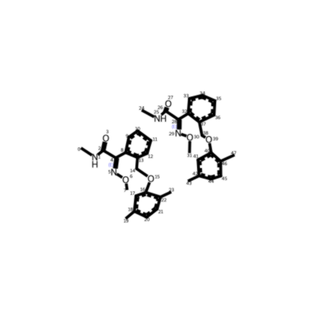 CNC(=O)/C(=N/OC)c1ccccc1COc1cc(C)ccc1C.CNC(=O)/C(=N/OC)c1ccccc1COc1cc(C)ccc1C